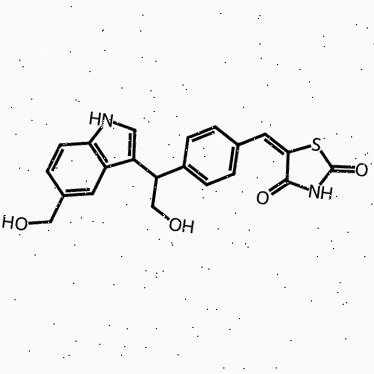 O=C1NC(=O)/C(=C\c2ccc(C(CO)c3c[nH]c4ccc(CO)cc34)cc2)S1